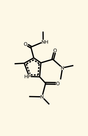 CNC(=O)c1c(C)[pH]c(C(=O)N(C)C)c1C(=O)N(C)C